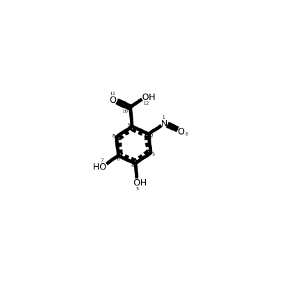 O=Nc1cc(O)c(O)cc1C(=O)O